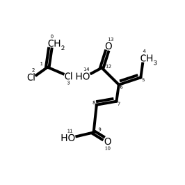 C=C(Cl)Cl.CC=C(C=CC(=O)O)C(=O)O